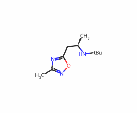 Cc1noc(C[C@@H](C)NC(C)(C)C)n1